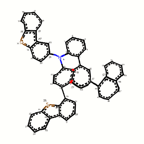 c1cc(-c2ccccc2N(c2ccc(-c3cccc4c3sc3ccccc34)cc2)c2ccc3sc4ccccc4c3c2)cc(-c2cccc3ccccc23)c1